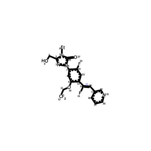 CCn1c(CO)nn(-c2cc(OCC(F)(F)F)c(/C(F)=C/c3cccnc3)cc2F)c1=O